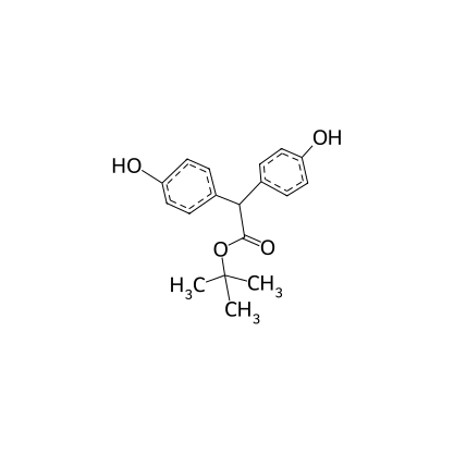 CC(C)(C)OC(=O)C(c1ccc(O)cc1)c1ccc(O)cc1